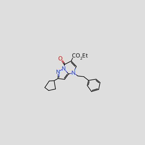 CCOC(=O)c1cn(CCc2ccccc2)c2cc(C3CCCC3)nn2c1=O